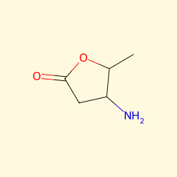 CC1OC(=O)CC1N